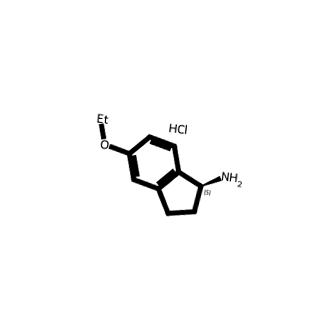 CCOc1ccc2c(c1)CC[C@@H]2N.Cl